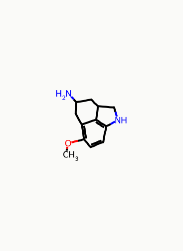 COc1ccc2c3c1CC(N)CC3CN2